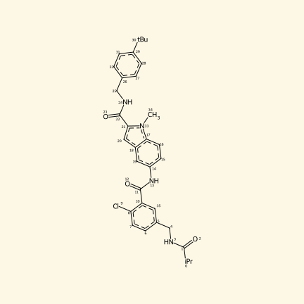 CC(C)C(=O)NCc1ccc(Cl)c(C(=O)Nc2ccc3c(c2)cc(C(=O)NCc2ccc(C(C)(C)C)cc2)n3C)c1